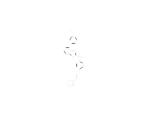 CCOc1cccc(-c2cccc3nc(Nc4ccc(OCCN5CCCC5)cc4)nn23)c1